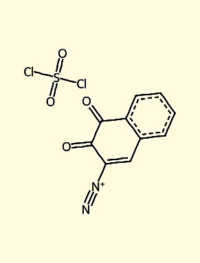 N#[N+]C1=Cc2ccccc2C(=O)C1=O.O=S(=O)(Cl)Cl